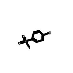 O=S(=O)(I)c1ccc(Cl)cc1